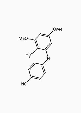 COc1cc([N]c2ccc(C#N)cc2)c(C)c(OC)c1